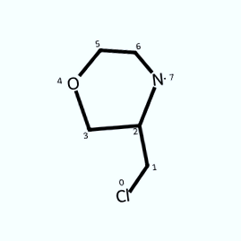 ClCC1COCC[N]1